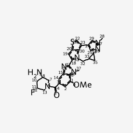 COc1cc(C(=O)N2C[C@H](N)C[C@@H](F)C2)cc2nc(-c3cc4scc(-c5cnn(C)c5)c4n3CC3CC3)n(C)c12